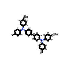 Cc1ccc(N(c2ccc(-c3ccc(N(c4ccc(C)cc4)c4ccc(C(C)(C)C)cc4)cc3)cc2)c2ccc(C(C)(C)C)cc2)cc1